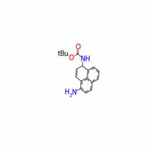 CC(C)(C)OC(=O)NC1C=Cc2c(N)ccc3cccc1c23